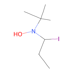 CCC(I)N(O)C(C)(C)C